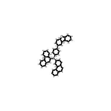 c1ccc2c(c1)ccc1ccc(N(c3ccc(-c4ccc5oc6ccccc6c5c4)cc3)c3cc4ccccc4c4ccccc34)cc12